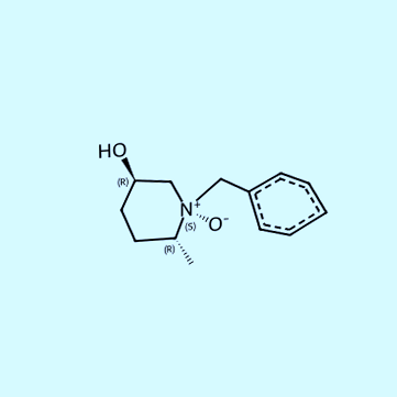 C[C@@H]1CC[C@@H](O)C[N@@+]1([O-])Cc1ccccc1